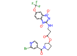 O=C(CCNc1n[n+]([O-])c2cc(OC(F)(F)F)ccc2[n+]1[O-])O[C@H]1CCN(C(=O)c2ccnc(Br)c2)C1